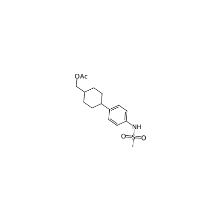 CC(=O)OCC1CCC(c2ccc(NS(C)(=O)=O)cc2)CC1